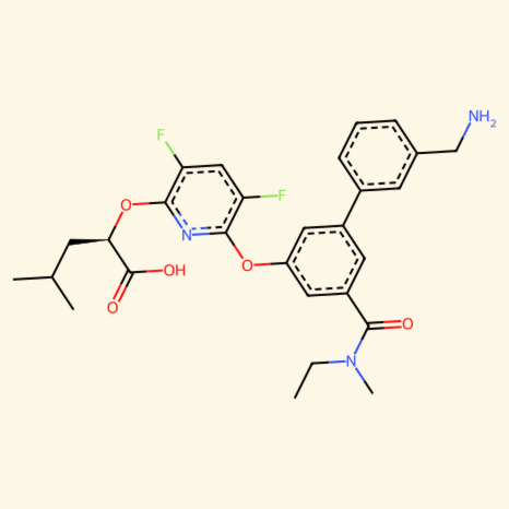 CCN(C)C(=O)c1cc(Oc2nc(O[C@H](CC(C)C)C(=O)O)c(F)cc2F)cc(-c2cccc(CN)c2)c1